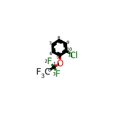 FC(F)(F)C(F)(F)Oc1cc[c]cc1Cl